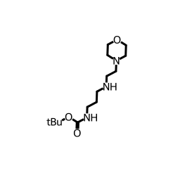 CC(C)(C)OC(=O)NCCCNCCN1CCOCC1